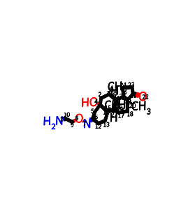 C[C@@H]1C[C@@]2(O)CC(=NOCCN)CC[C@]2(C)[C@H]2CC[C@]3(C)C(=O)CC[C@H]3[C@H]12